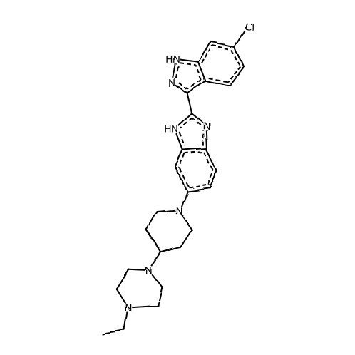 CCN1CCN(C2CCN(c3ccc4nc(-c5n[nH]c6cc(Cl)ccc56)[nH]c4c3)CC2)CC1